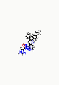 Cn1cnc(C(=O)NNc2nccc3nc(-c4ccc(C5CCC5)cc4)c(-c4ccccc4)cc23)c1